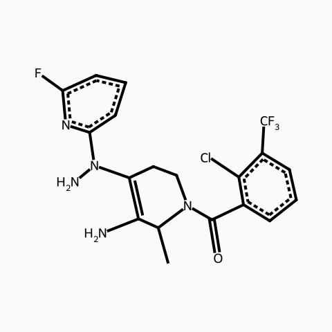 CC1C(N)=C(N(N)c2cccc(F)n2)CCN1C(=O)c1cccc(C(F)(F)F)c1Cl